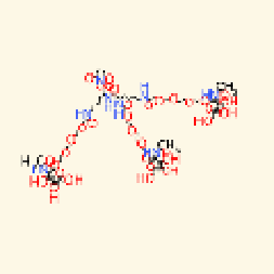 CC(=O)NC1[C@H](OCCOCCOCCOCC(=O)NCCCCC(NC(=O)C(CCCCNC(=O)COCCOCCOCCOC2O[C@H](CO)[C@H](O)[C@H](O)[C@H]2NC(C)=O)NC(=O)COCCOCCOCCO[C@@H]2O[C@H](CO)[C@H](O)[C@H](O)[C@H]2NC(C)=O)C(=O)ON2C(=O)CCC2=O)O[C@H](CO)[C@H](O)[C@@H]1O